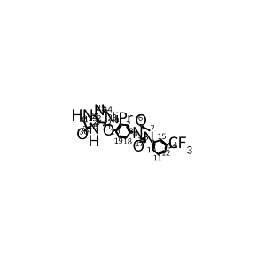 CC(C)c1cc(N2C(=O)CN(c3cccc(C(F)(F)F)c3)C2=O)ccc1Oc1ncnc2c1NC(=O)CN2